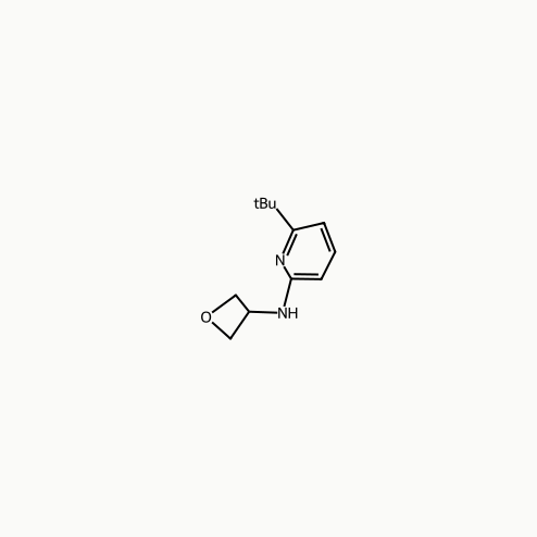 CC(C)(C)c1cccc(NC2COC2)n1